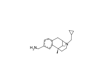 CC1C2Cc3ccc(CN)cc3[C@@]1(C)CCN2CC1CC1